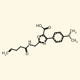 C=CCCC(=O)NCc1nc(-c2ccc(N(C)C)cc2)c(C(=O)O)o1